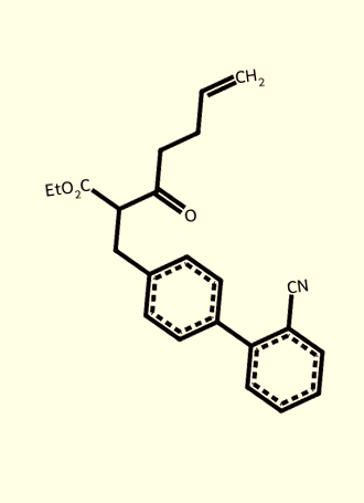 C=CCCC(=O)C(Cc1ccc(-c2ccccc2C#N)cc1)C(=O)OCC